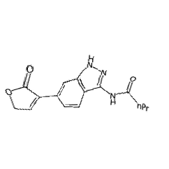 CCCC(=O)Nc1n[nH]c2cc(C3=CCOC3=O)ccc12